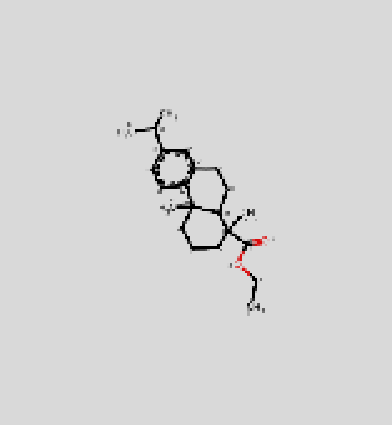 CCOC(=O)C1(C)CCCC2(C)c3ccc(C(C)C)cc3CCC12